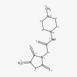 C=C1SC(=S)N(CC(=O)NN2CCN(C)CC2)C1=O